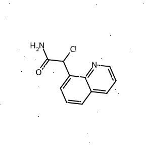 NC(=O)C(Cl)c1cccc2cccnc12